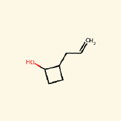 C=CCC1CCC1O